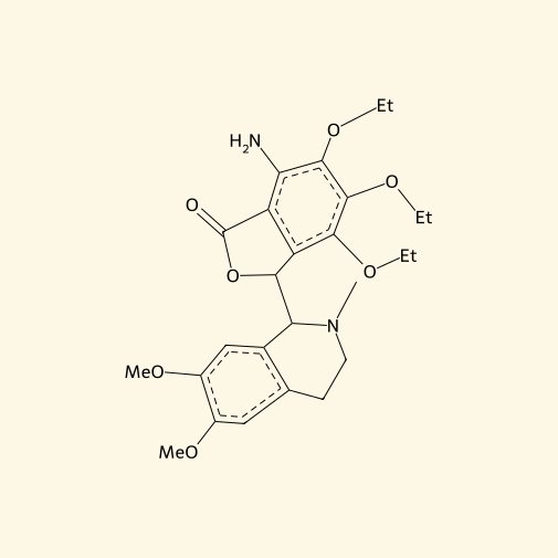 CCOc1c(N)c2c(c(OCC)c1OCC)C(C1c3cc(OC)c(OC)cc3CCN1C)OC2=O